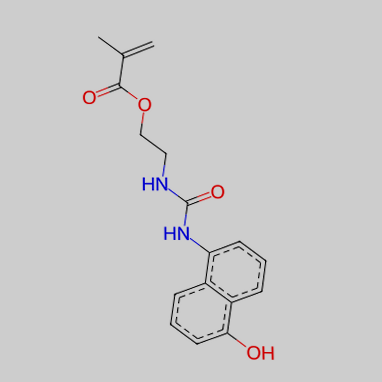 C=C(C)C(=O)OCCNC(=O)Nc1cccc2c(O)cccc12